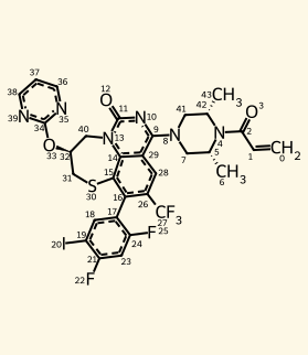 C=CC(=O)N1[C@H](C)CN(c2nc(=O)n3c4c(c(-c5cc(I)c(F)cc5F)c(C(F)(F)F)cc24)SC[C@@H](Oc2ncccn2)C3)C[C@@H]1C